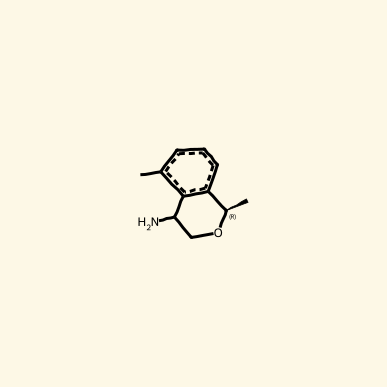 Cc1cccc2c1C(N)CO[C@@H]2C